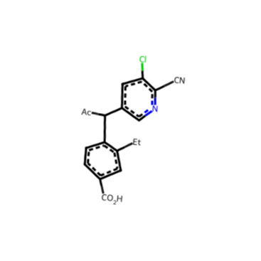 CCc1cc(C(=O)O)ccc1C(C(C)=O)c1cnc(C#N)c(Cl)c1